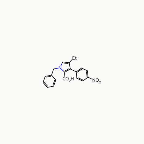 CCc1cn(Cc2ccccc2)c(C(=O)O)c1-c1ccc([N+](=O)[O-])cc1